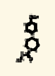 COc1ccc([C@@H]2CCCN(C(=O)OC(C)(C)C)CC2)cc1